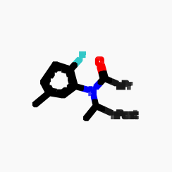 CCCCCC(C)N(C(=O)CCC)c1cc(C)ccc1F